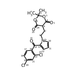 CC1(C)OC(=O)C(CCn2cccc2C(=O)c2ccc(Cl)cc2Cl)C(=O)O1